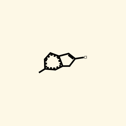 Cc1ccc2c(c1)CC(Cl)=C2